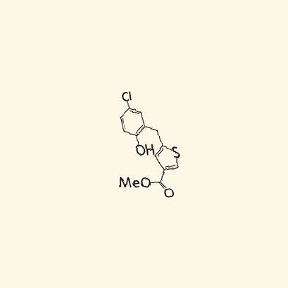 COC(=O)c1csc(Cc2cc(Cl)ccc2O)c1